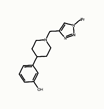 CC(C)n1cc(CN2CCC(c3cccc(O)c3)CC2)nn1